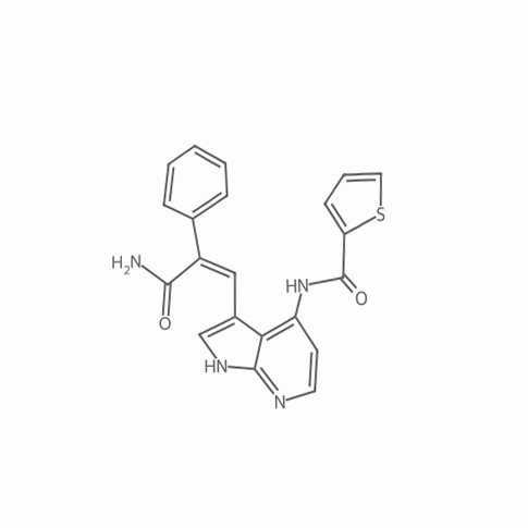 NC(=O)/C(=C\c1c[nH]c2nccc(NC(=O)c3cccs3)c12)c1ccccc1